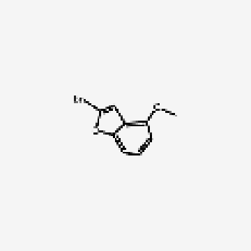 COc1cccc2oc(Br)cc12